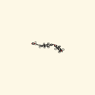 Cc1ccc(C(=O)OCCCCOC(=O)c2ccc(-n3c(=O)c4cc5c(=O)n(-c6ccc(Cc7ccc(-n8c(=O)c9cc%10c(=O)n(C)c(=O)c%10cc9c8=O)cc7)cc6)c(=O)c5cc4c3=O)cc2)cc1